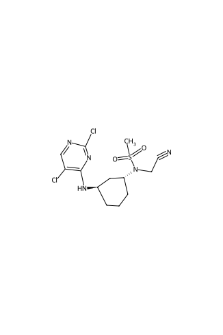 CS(=O)(=O)N(CC#N)[C@@H]1CCC[C@@H](Nc2nc(Cl)ncc2Cl)C1